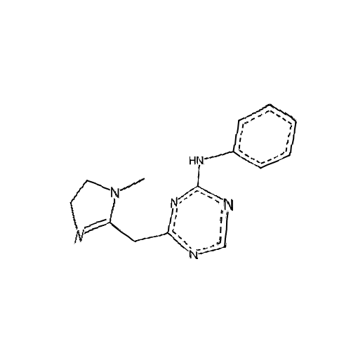 CN1CCN=C1Cc1ncnc(Nc2ccccc2)n1